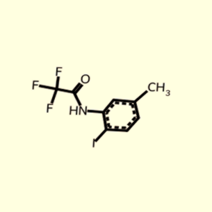 Cc1ccc(I)c(NC(=O)C(F)(F)F)c1